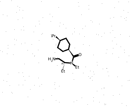 CC[C@H](CN)N(CC)C(=O)[C@H]1CC[C@@H](C(C)C)CC1